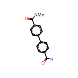 CNC(=O)c1ccc(-c2ccc(C(=O)I)cc2)cc1